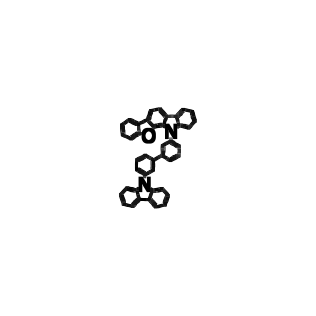 c1cc(-c2cccc(-n3c4ccccc4c4ccc5c6ccccc6oc5c43)c2)cc(-n2c3ccccc3c3ccccc32)c1